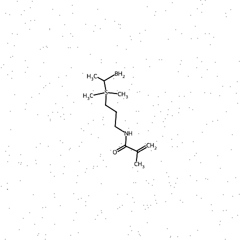 BC(C)S(C)(C)CCCNC(=O)C(=C)C